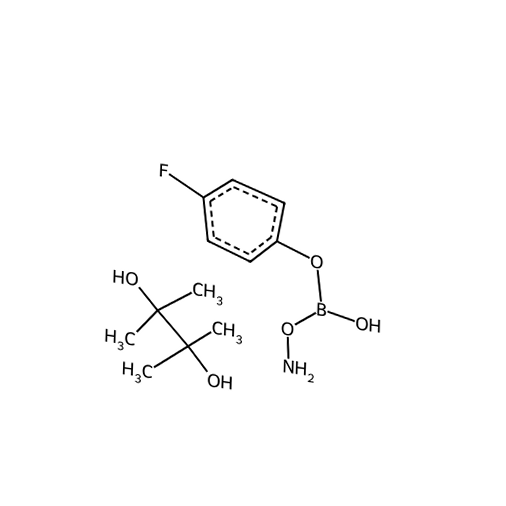 CC(C)(O)C(C)(C)O.NOB(O)Oc1ccc(F)cc1